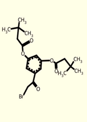 CC(C)(C)CC(=O)Oc1cc(OC(=O)CC(C)(C)C)cc(C(=O)CBr)c1